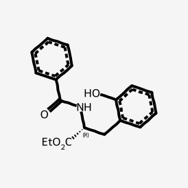 CCOC(=O)[C@@H](Cc1ccccc1O)NC(=O)c1ccccc1